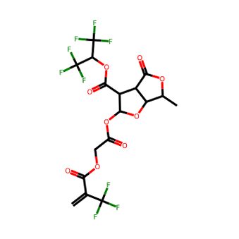 C=C(C(=O)OCC(=O)OC1OC2C(C)OC(=O)C2C1C(=O)OC(C(F)(F)F)C(F)(F)F)C(F)(F)F